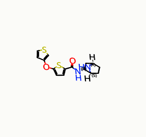 O=C(N[C@@H]1C[C@H]2CC[C@@H]1N2)c1ccc(Oc2ccsc2)s1